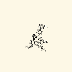 COB(OC)c1ccc(C(COB(OC)c2ccc(OC)cc2)COB(OC)c2cccc(OC)c2)cc1